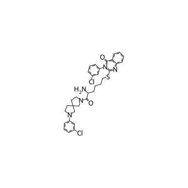 NC(CCCCSc1nc2ccccc2c(=O)n1-c1cccc(Cl)c1)C(=O)N1CCC2(CCN(c3cccc(Cl)c3)C2)C1